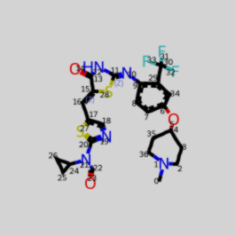 CN1CCC(Oc2ccc(/N=C3/NC(=O)/C(=C/c4cnc(N(C=O)C5CC5)s4)S3)c(C(F)(F)F)c2)CC1